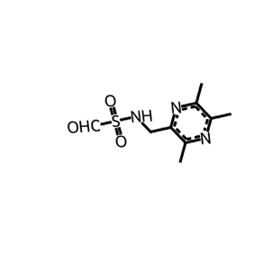 Cc1nc(C)c(CNS(=O)(=O)C=O)nc1C